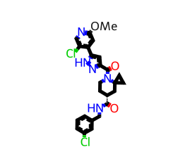 COc1cc(-c2cc(C(=O)N3CC[C@@H](C(=O)NCc4cccc(Cl)c4)CC34CC4)n[nH]2)c(Cl)cn1